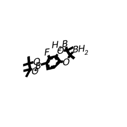 BC1(C)Oc2ccc(B3OC(C)(C)C(C)(C)O3)c(F)c2OC1(B)C